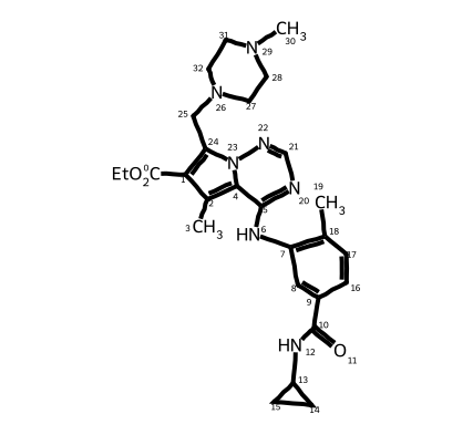 CCOC(=O)c1c(C)c2c(Nc3cc(C(=O)NC4CC4)ccc3C)ncnn2c1CN1CCN(C)CC1